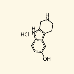 Cl.Oc1ccc2[nH]c3c(c2c1)CCNC3